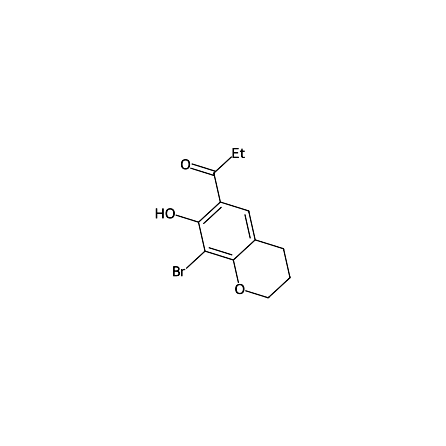 CCC(=O)c1cc2c(c(Br)c1O)OCCC2